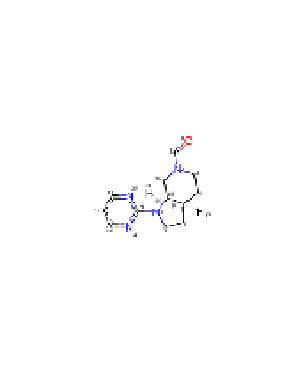 O=CN1CC[C@H]2CCN(c3ncccn3)[C@H]2C1